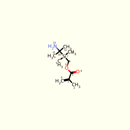 C=C(C)C(=O)OC[Si](C)(C)C(C)(C)N